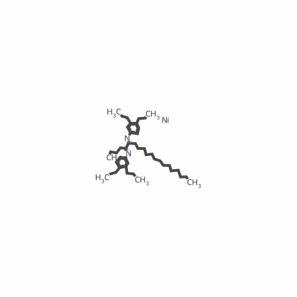 CCCCCCCCCCCCCCC(=N\c1ccc(CCC)c(CCC)c1)/C(CCCC)=N/c1ccc(CCC)c(CCC)c1.[Ni]